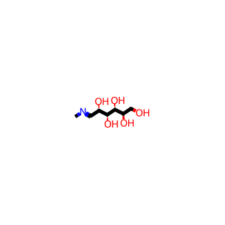 CN=C[C@H](O)[C@@H](O)[C@H](O)[C@H](O)CO